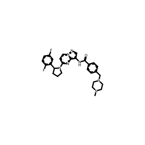 CN1CCN(Cc2ccc(C(=O)Nc3cnn4ccc(N5CCCC5c5cc(F)ccc5F)nc34)cc2)CC1